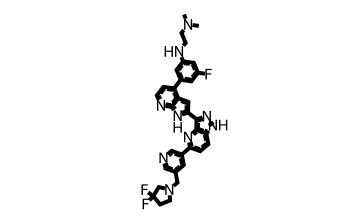 CN(C)CCNc1cc(F)cc(-c2ccnc3[nH]c(-c4n[nH]c5ccc(-c6cncc(CN7CCC(F)(F)C7)c6)nc45)cc23)c1